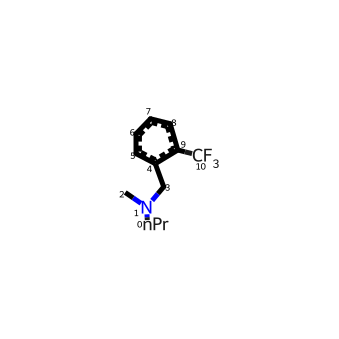 CCCN(C)Cc1ccccc1C(F)(F)F